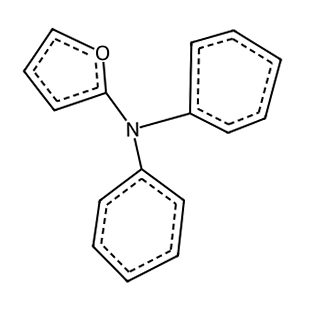 c1ccc(N(c2ccccc2)c2ccco2)cc1